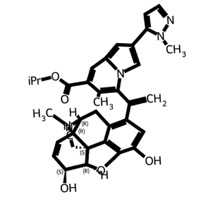 C=C(c1cc(O)c2c3c1C[C@@H]1[C@@H]4C=C[C@H](O)[C@H](O2)[C@]34CCN1C)c1c(C)c(C(=O)OC(C)C)cc2cc(-c3ccnn3C)cn12